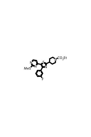 CCOC(=O)N1CCC(c2nc(-c3cccc(F)c3)c(-c3ccnc(SC)n3)s2)CC1